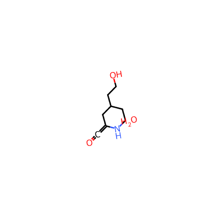 O.O=C=C1CC(CCO)CCN1